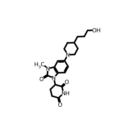 Cn1c(=O)n(C2CCC(=O)NC2=O)c2ccc(N3CCC(CCCO)CC3)cc21